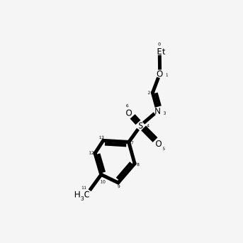 CCOC=NS(=O)(=O)c1ccc(C)cc1